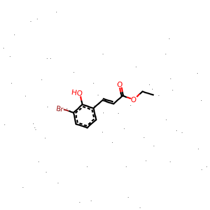 CCOC(=O)C=Cc1cccc(Br)c1O